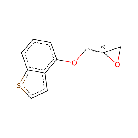 c1cc(OC[C@@H]2CO2)c2ccsc2c1